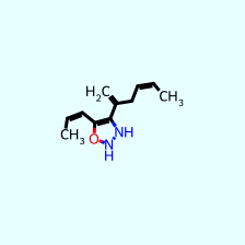 C=C(C/C=C\C)C1=C(/C=C\C)ONN1